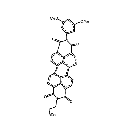 CCCCCCCCCCCCN1C(=O)c2ccc3c4ccc5c6c(ccc(c7ccc(c2c37)C1=O)c64)C(=O)N(c1cc(OC)cc(OC)c1)C5=O